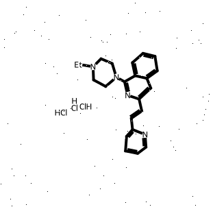 CCN1CCN(c2nc(/C=C/c3ccccn3)cc3ccccc23)CC1.Cl.Cl.Cl